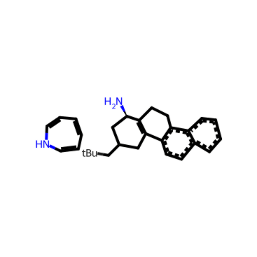 C1=CC=CNC=C1.CC(C)(C)CC1CC2=C(CCc3c2ccc2ccccc32)[C@H](N)C1